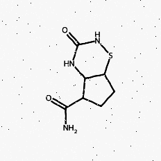 NC(=O)C1CCC2SNC(=O)NC21